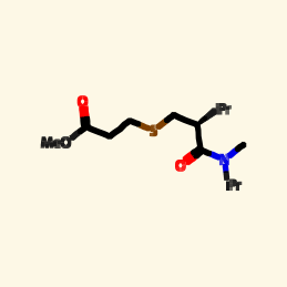 COC(=O)CCSC[C@H](C(=O)N(C)C(C)C)C(C)C